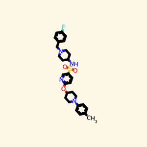 Cc1ccc(N2CCC(Oc3ccc(S(=O)(=O)NC4CCN(Cc5ccc(F)cc5)CC4)cn3)CC2)cc1